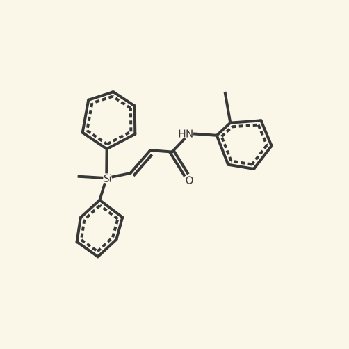 Cc1ccccc1NC(=O)C=C[Si](C)(c1ccccc1)c1ccccc1